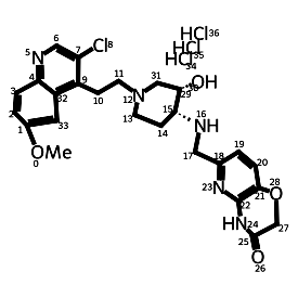 COc1ccc2ncc(Cl)c(CCN3CC[C@@H](NCc4ccc5c(n4)NC(=O)CO5)[C@@H](O)C3)c2c1.Cl.Cl.Cl